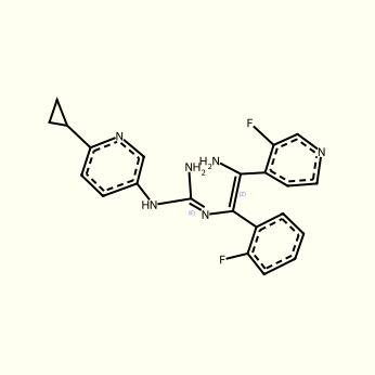 N/C(=C(\N=C(/N)Nc1ccc(C2CC2)nc1)c1ccccc1F)c1ccncc1F